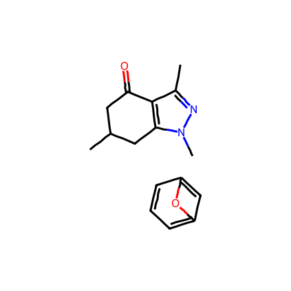 Cc1nn(C)c2c1C(=O)CC(C)C2.c1cc2cc(c1)O2